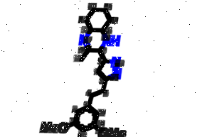 COc1cc(CCC2CC(C3NC4CCCCC4N=C3C)N=N2)cc(OC)c1